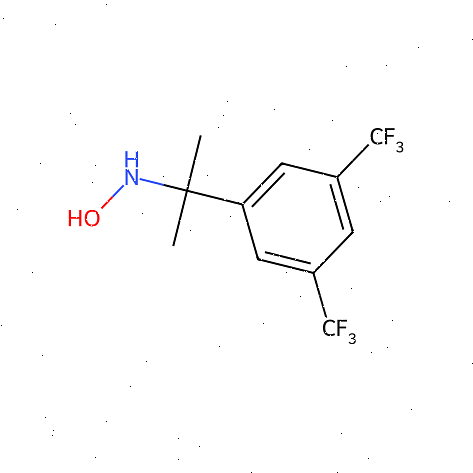 CC(C)(NO)c1cc(C(F)(F)F)cc(C(F)(F)F)c1